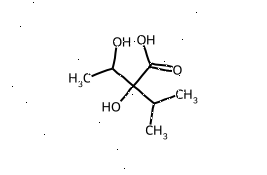 CC(C)C(O)(C(=O)O)C(C)O